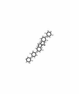 c1ccc(-c2ccc(-c3ccc4c(c3)sc3c5ccc(-c6ccccc6)cc5sc43)cc2)cc1